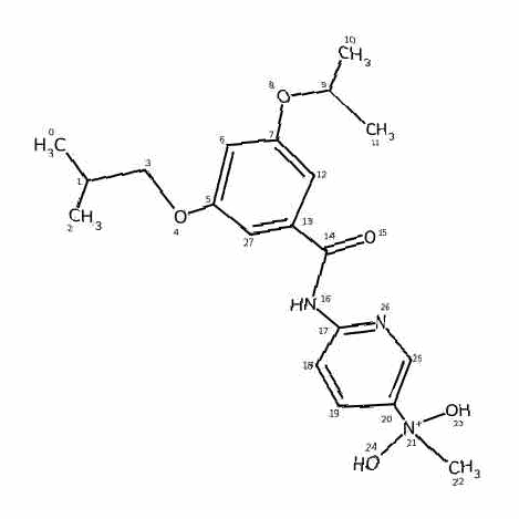 CC(C)COc1cc(OC(C)C)cc(C(=O)Nc2ccc([N+](C)(O)O)cn2)c1